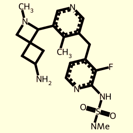 CNS(=O)(=O)Nc1nccc(Cc2cncc(C3N(C)CC34CC(N)C4)c2C)c1F